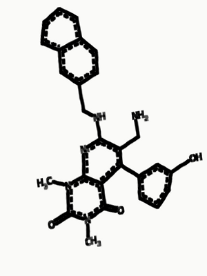 Cn1c(=O)c2c(-c3cccc(O)c3)c(CN)c(NCc3ccc4ccccc4c3)nc2n(C)c1=O